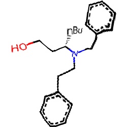 CCCC[C@@H](CCO)N(CCc1ccccc1)Cc1ccccc1